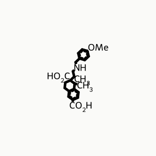 COc1ccc(CNCCC2(C(=O)O)CCc3cc(C(=O)O)ccc3C2(C)C)cc1